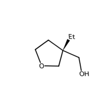 CC[C@]1(CO)CCOC1